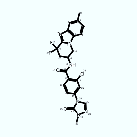 Cc1ccc2c(c1)nc1n2CC(NC(=O)c2ccc(-n3cnn(C)c3=O)cc2Cl)CC1(F)F